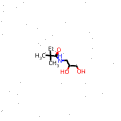 CCC(C)(C)C(=O)NCC(O)CO